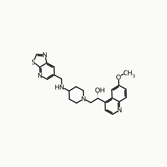 COc1ccc2nccc([C@@H](O)CN3CCC(NCc4cnc5scnc5c4)CC3)c2c1